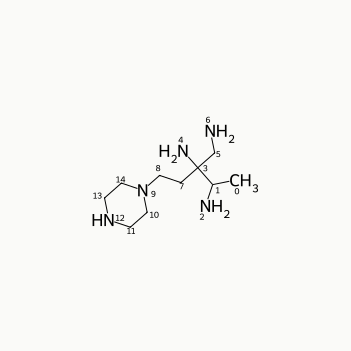 CC(N)C(N)(CN)CCN1CCNCC1